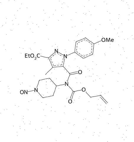 C=CCOC(=O)N(C(=O)c1c(C)c(C(=O)OCC)nn1-c1ccc(OC)cc1)C1CCN(N=O)CC1